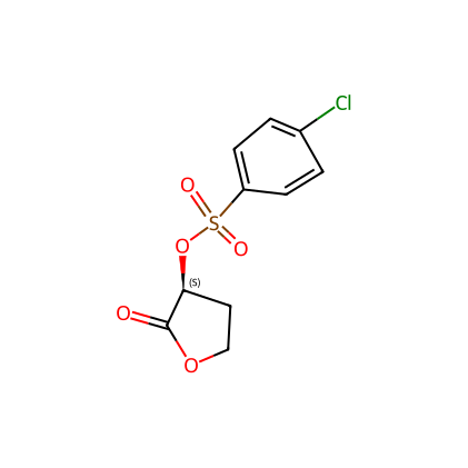 O=C1OCC[C@@H]1OS(=O)(=O)c1ccc(Cl)cc1